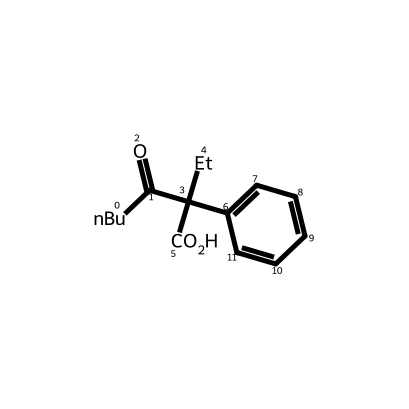 CCCCC(=O)C(CC)(C(=O)O)c1ccccc1